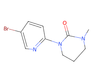 CN1CCCN(c2ccc(Br)cn2)C1=O